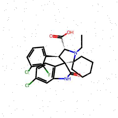 CCN1[C@@H](C(=O)O)[C@H](c2cccc(Cl)c2F)[C@]2(C(=O)Nc3cc(Cl)ccc32)C12CCCCC2